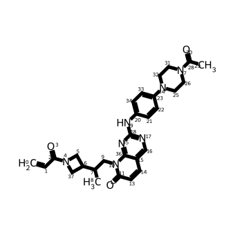 C=CC(=O)N1CC(C(C)Cn2c(=O)ccc3cnc(Nc4ccc(N5CCN(C(C)=O)CC5)cc4)nc32)C1